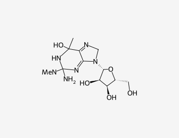 CNC1(N)N=C2C(=NCN2[C@@H]2O[C@H](CO)[C@@H](O)[C@H]2O)C(C)(O)N1